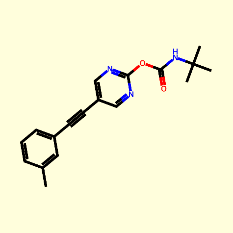 Cc1cccc(C#Cc2cnc(OC(=O)NC(C)(C)C)nc2)c1